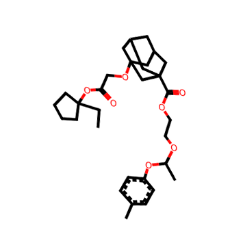 CCC1(OC(=O)COC23CC4CC(C2)CC(C(=O)OCCOC(C)Oc2ccc(C)cc2)(C4)C3)CCCC1